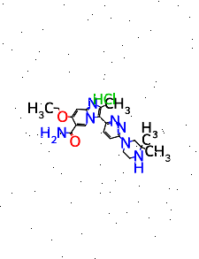 CCOc1cc2nc(C)c(-c3ccc(N4CCNC(C)(C)C4)nn3)n2cc1C(N)=O.Cl